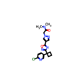 CN(C)C(=O)Cn1cc(-c2nc(C3(c4ccc(Cl)nc4)CCC3)no2)cn1